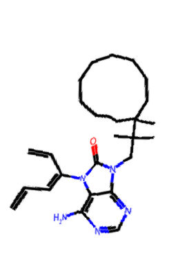 C=C/C=C(\C=C)n1c(=O)n(CC(C)(C)C2(C)CCCCCCCCC2)c2ncnc(N)c21